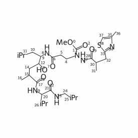 COC(=O)N(CCC(=O)NC(CC(C)C)C(O)CC(C)C(=O)NC(C(=O)NCC(C)C)C(C)C)NC(=O)C(C)Cc1nc(C)cs1